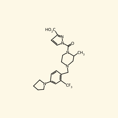 CC1CN(Cc2ccc(N3CCCC3)cc2C(F)(F)F)CCN1C(=O)n1ccc(C(=O)O)n1